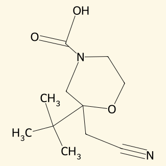 CC(C)(C)C1(CC#N)CN(C(=O)O)CCO1